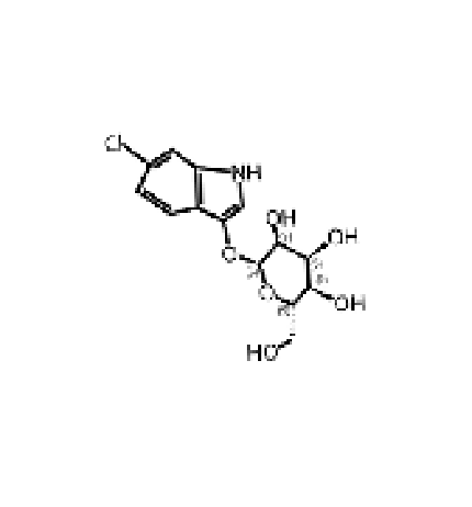 OC[C@@H]1O[C@@H](Oc2c[nH]c3cc(Cl)ccc23)[C@@H](O)[C@@H](O)[C@H]1O